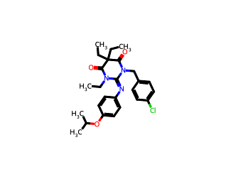 CCN1C(=O)C(CC)(CC)C(=O)N(Cc2ccc(Cl)cc2)/C1=N/c1ccc(OC(C)C)cc1